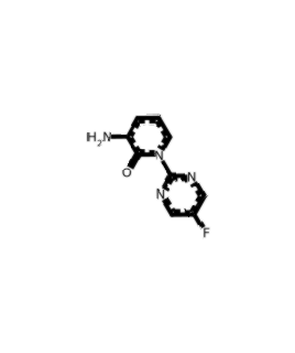 Nc1cccn(-c2ncc(F)cn2)c1=O